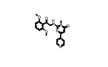 COc1cccc(OC)c1C(=O)CNc1nc(-c2ccncc2)cc(=O)n1C